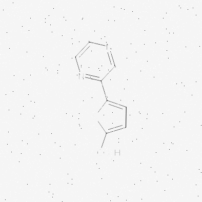 O=C(O)c1ccc(-c2cnccn2)s1